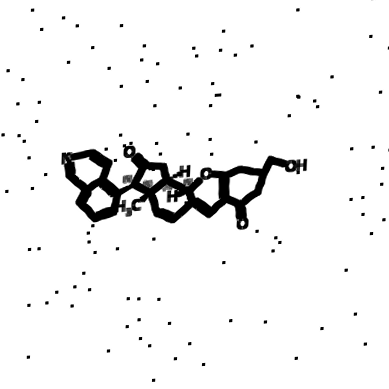 C[C@]12C=CC3=CC4=C(CC(CO)CC4=O)O[C@H]3[C@@H]1CC(=O)[C@@H]2c1cccc2cnccc12